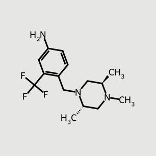 C[C@@H]1CN(Cc2ccc(N)cc2C(F)(F)F)[C@@H](C)CN1C